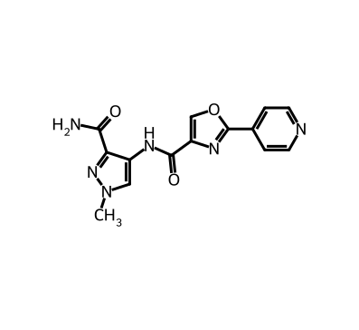 Cn1cc(NC(=O)c2coc(-c3ccncc3)n2)c(C(N)=O)n1